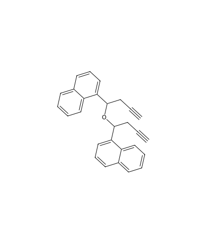 C#CCC(OC(CC#C)c1cccc2ccccc12)c1cccc2ccccc12